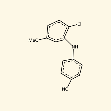 COc1ccc(Cl)c(Nc2ccc(C#N)cc2)c1